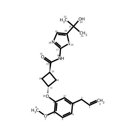 C=CCc1ccc(OC)c(O[C@H]2C[C@H](C(=O)Nc3ncc(C(C)(C)O)s3)C2)c1